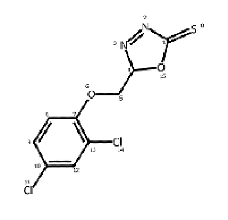 S=C1N=NC(COc2ccc(Cl)cc2Cl)O1